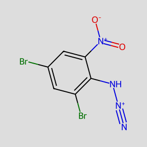 N#[N+]Nc1c(Br)cc(Br)cc1[N+](=O)[O-]